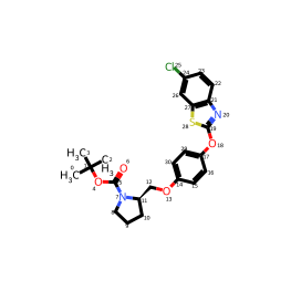 CC(C)(C)OC(=O)N1CCC[C@@H]1COc1ccc(Oc2nc3ccc(Cl)cc3s2)cc1